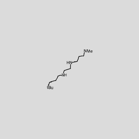 CNCCCNCCNCCCC(C)(C)C